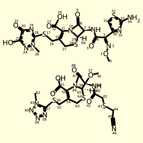 CO/N=C(\C(=O)N[C@@H]1C(=O)N2C(C(=O)O)=C(CSc3nc(=O)c(O)nn3C)CS[C@H]12)c1csc(N)n1.CO[C@@]1(NC(=O)CSCC#N)C(=O)N2C(C(=O)O)=C(CSc3nnnn3C)CS[C@@H]21